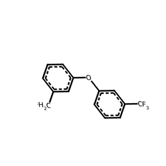 [CH2]c1cccc(Oc2cccc(C(F)(F)F)c2)c1